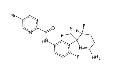 NC1=NC(c2cc(NC(=O)c3ccc(Br)cn3)ccc2F)(C(F)F)C(F)(F)CC1